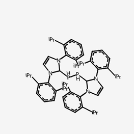 CC(C)c1cccc(C(C)C)c1N1C=CN(c2c(C(C)C)cccc2C(C)C)C1PPC1N(c2c(C(C)C)cccc2C(C)C)C=CN1c1c(C(C)C)cccc1C(C)C